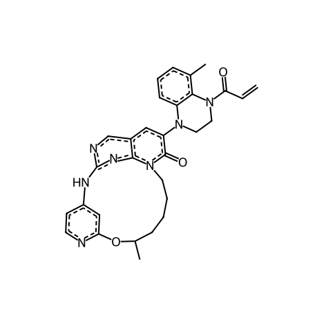 C=CC(=O)N1CCN(c2cc3cnc4nc3n(c2=O)CCCCC(C)Oc2cc(ccn2)N4)c2cccc(C)c21